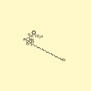 CCC=CCC=CCC=CCC=CCC=CCC=CCCCSC(CC)(CC)C(=O)NC(CC(C)C)C(=O)Oc1ccccc1C(=O)O